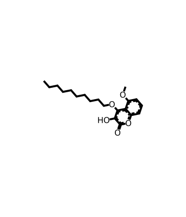 CCCCCCCCCCOc1c(O)c(=O)oc2cccc(OC)c12